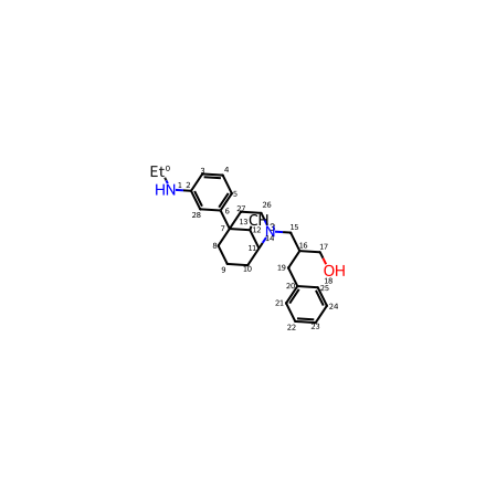 CCNc1cccc(C23CCCC(C2C)N(CC(CO)Cc2ccccc2)CC3)c1